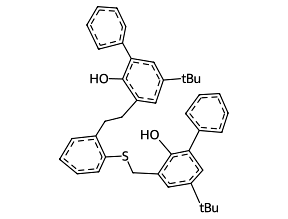 CC(C)(C)c1cc(CCc2ccccc2SCc2cc(C(C)(C)C)cc(-c3ccccc3)c2O)c(O)c(-c2ccccc2)c1